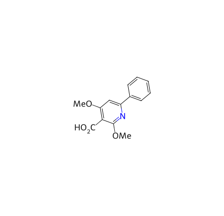 COc1cc(-c2ccccc2)nc(OC)c1C(=O)O